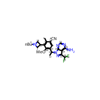 CCCCN1CC(c2c(C)c(C#N)cc(C(C)n3nc(C(F)F)c4c(N)ncnc43)c2OC)C1